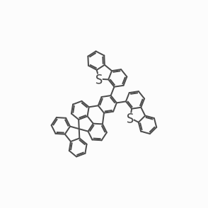 c1ccc2c(c1)-c1ccccc1C21c2cccc3c4cc(-c5cccc6c5sc5ccccc56)c(-c5cccc6c5sc5ccccc56)cc4c4cccc1c4c23